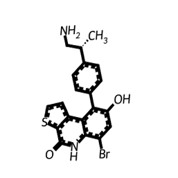 C[C@@H](CN)c1ccc(-c2c(O)cc(Br)c3[nH]c(=O)c4sccc4c23)cc1